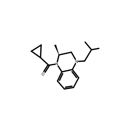 C[C](C)CN1C[C@H](C)N(C(=O)C2CC2)c2ccccc21